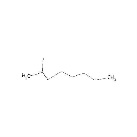 CCCCCCC(C)I